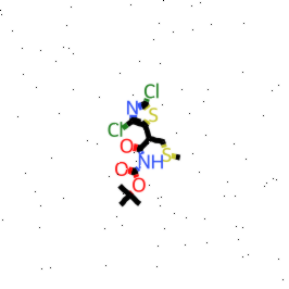 CSCC(C(=O)NC(=O)OC(C)(C)C)c1sc(Cl)nc1Cl